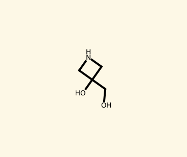 OCC1(O)CNC1